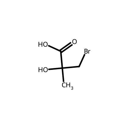 CC(O)(CBr)C(=O)O